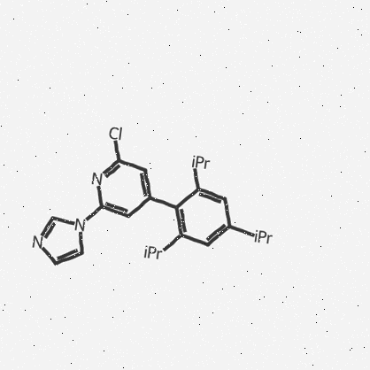 CC(C)c1cc(C(C)C)c(-c2cc(Cl)nc(-n3ccnc3)c2)c(C(C)C)c1